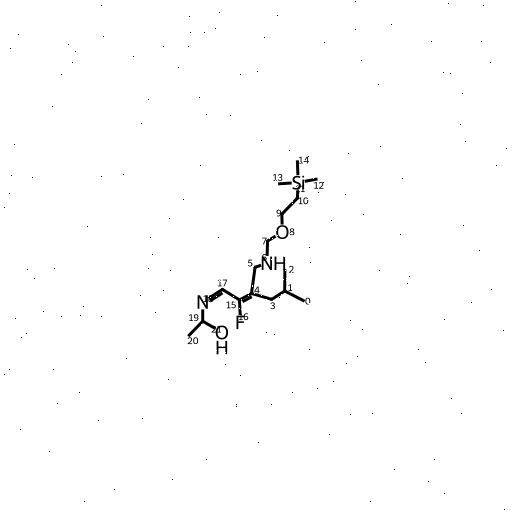 CC(C)C/C(CNCOCC[Si](C)(C)C)=C(F)/C=N\C(C)O